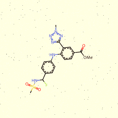 COC(=O)c1ccc(Nc2ccc(C(F)NS(C)(=O)=O)cc2)c(-c2nnn(C)n2)c1